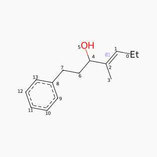 CC/C=C(\C)C(O)CCc1ccccc1